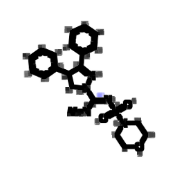 CN/C(=N\S(=O)(=O)N1CCOCC1)N1CC(c2ccccc2)C(c2ccccc2)=N1